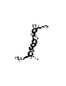 CCCCc1cc2c(cc1C)sc1c3cc4cc5sc6c7cc(CCCC)c(C)cc7sc6c5cc4cc3sc21